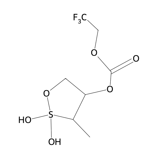 CC1C(OC(=O)OCC(F)(F)F)COS1(O)O